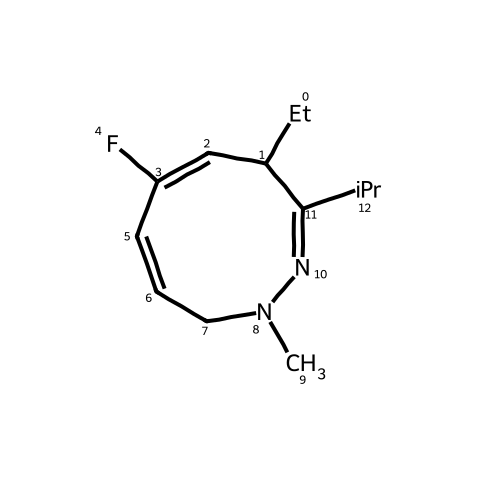 CCC1/C=C(F)\C=C/CN(C)/N=C\1C(C)C